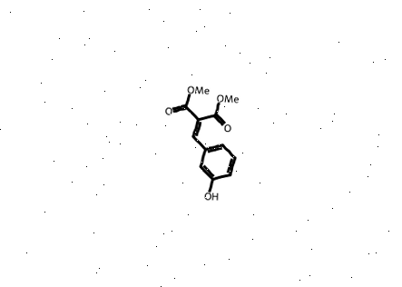 COC(=O)C(=Cc1cccc(O)c1)C(=O)OC